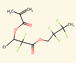 C=C(C)C(=O)OC(CC)C(F)(F)C(=O)OCC(F)(F)C(C)(F)F